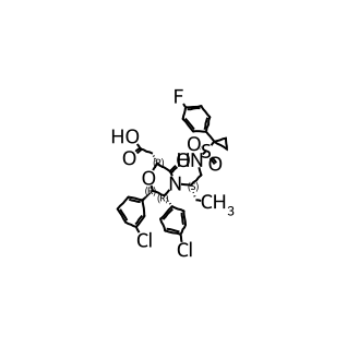 CC[C@@H](CNS(=O)(=O)C1(c2ccc(F)cc2)CC1)N1C(=O)[C@@H](CC(=O)O)O[C@H](c2cccc(Cl)c2)[C@H]1c1ccc(Cl)cc1